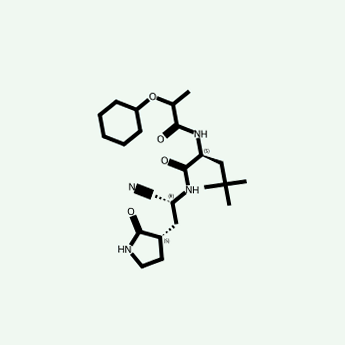 CC(OC1CCCCC1)C(=O)N[C@@H](CC(C)(C)C)C(=O)N[C@@H](C#N)C[C@@H]1CCNC1=O